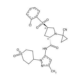 Cc1cc(NC(=O)[C@@H]2C[C@@H](S(=O)(=O)c3ccccc3Cl)CN2C2(C#N)CC2)n(C2CCS(=O)(=O)CC2)n1